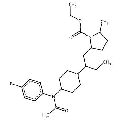 CCOC(=O)N1C(C)CCC1CC(CC)N1CCC(N(C(C)=O)c2ccc(F)cc2)CC1